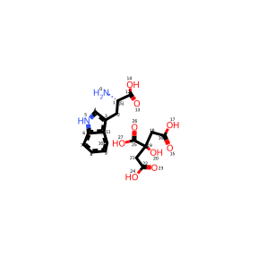 N[C@@H](Cc1c[nH]c2ccccc12)C(=O)O.O=C(O)CC(O)(CC(=O)O)C(=O)O